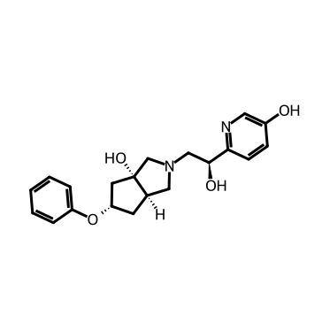 Oc1ccc([C@@H](O)CN2C[C@H]3C[C@H](Oc4ccccc4)C[C@@]3(O)C2)nc1